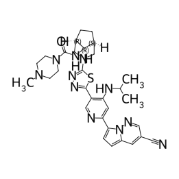 CC(C)Nc1cc(-c2ccc3cc(C#N)cnn23)ncc1-c1nnc(N2C[C@H]3CC[C@@H](C2)[C@H]3NC(=O)N2CCN(C)CC2)s1